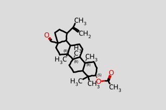 C=C(C)C1CCC2(C=O)CC[C@]3(C)C(CCC4[C@@]5(C)CC[C@H](OC(C)=O)C(C)(C)C5CC[C@]43C)C12